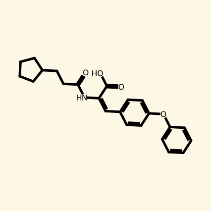 O=C(CCC1CCCC1)N/C(=C/c1ccc(Oc2ccccc2)cc1)C(=O)O